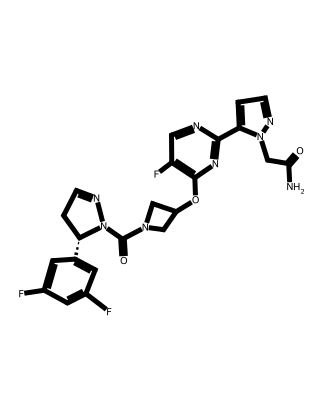 NC(=O)Cn1nccc1-c1ncc(F)c(OC2CN(C(=O)N3N=CC[C@H]3c3cc(F)cc(F)c3)C2)n1